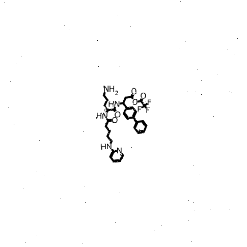 NCCC[C@H](NC(=O)CCCCNc1ccccn1)C(=O)NC(CC(=O)OC(=O)C(F)(F)F)c1ccc(-c2ccccc2)cc1